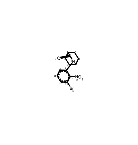 O=C1C2CCC(CC2)N1c1cccc(Br)c1[N+](=O)[O-]